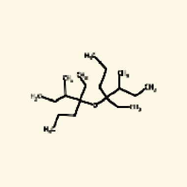 CCCC(CC)(OC(CC)(CCC)C(C)CC)C(C)CC